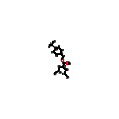 C=C(C)[C@@H]1CC=C(COC(=O)C(CCC)CCC)CC1